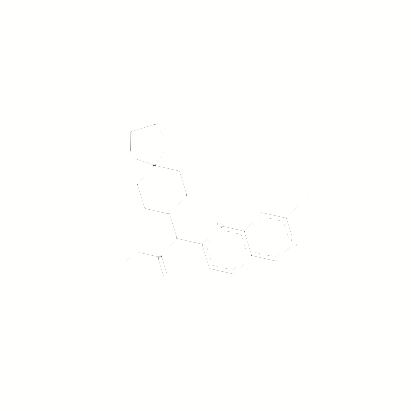 COC(=O)C(c1ccc2cnc(Cl)cc2n1)C1CCC2(CC1)OCCO2